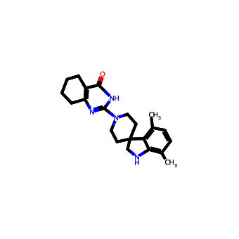 Cc1ccc(C)c2c1NCC21CCN(c2nc3c(c(=O)[nH]2)CCCC3)CC1